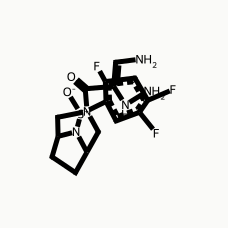 N/C=C(\NN)C(=O)N1CC2CCC(C1)N2[S+]([O-])c1cc(F)c(F)cc1F